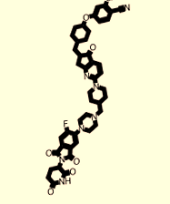 N#Cc1ccc(OC2CCC(CC3Cc4nc(N5CCC(CN6CCN(c7cc8c(cc7F)C(=O)N(C7CCC(=O)NC7=O)C8=O)CC6)CC5)ccc4C3=O)CC2)cc1Cl